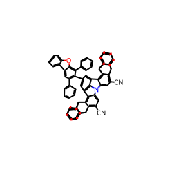 N#Cc1cc2c(c3c1C1c4ccccc4C3c3ccccc31)c1cc(-c3c(-c4ccccc4)cc4c(oc5ccccc54)c3-c3ccccc3)cc3c4c5c(c(C#N)cc4n2c13)C1c2ccccc2C5c2ccccc21